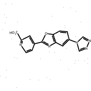 O=C(O)c1cc(-c2nc3cc(-n4cnnc4)ccc3o2)ccn1